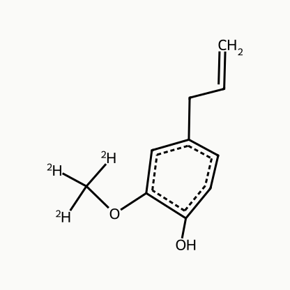 [2H]C([2H])([2H])Oc1cc(CC=C)ccc1O